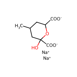 CC1CC(C(=O)[O-])OC(O)(C(=O)[O-])C1.[Na+].[Na+]